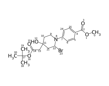 COC(=O)c1ccc(N2CCC(O)(CC(=O)OC(C)(C)C)CC2Br)cc1